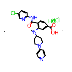 CN(c1cc(C(=O)O)ccc1C(=O)Nc1ccc(Cl)cn1)C1CCN(c2ccncc2)CC1.Cl.Cl